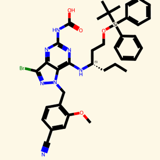 CCC[C@@H](CCO[Si](c1ccccc1)(c1ccccc1)C(C)(C)C)Nc1nc(NC(=O)O)nc2c(Br)nn(Cc3ccc(C#N)cc3OC)c12